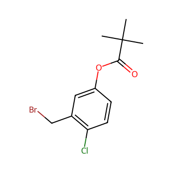 CC(C)(C)C(=O)Oc1ccc(Cl)c(CBr)c1